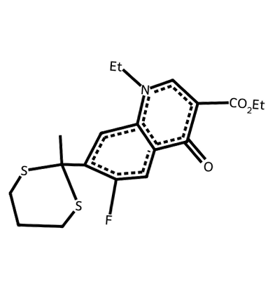 CCOC(=O)c1cn(CC)c2cc(C3(C)SCCCS3)c(F)cc2c1=O